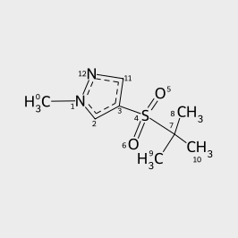 Cn1cc(S(=O)(=O)C(C)(C)C)cn1